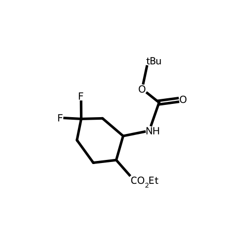 CCOC(=O)C1CCC(F)(F)CC1NC(=O)OC(C)(C)C